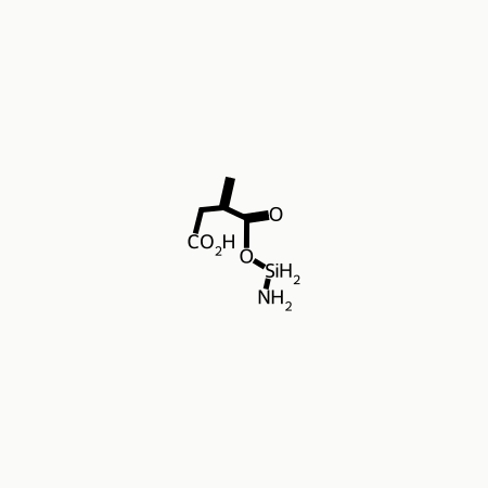 C=C(CC(=O)O)C(=O)O[SiH2]N